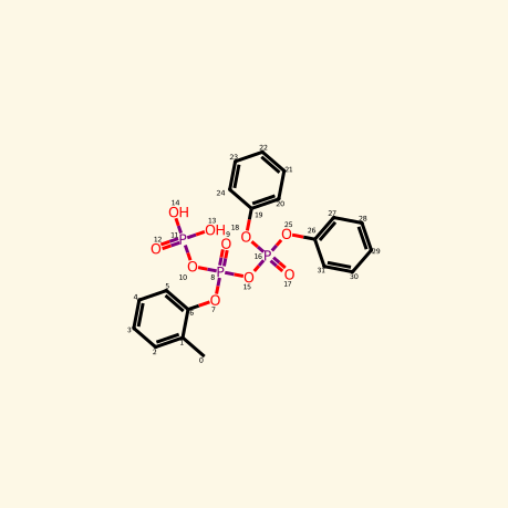 Cc1ccccc1OP(=O)(OP(=O)(O)O)OP(=O)(Oc1ccccc1)Oc1ccccc1